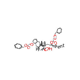 CCCCC[C@@H](CC[C@@H]1[C@H]2Cc3cccc(OCC(=O)OCc4ccccc4)c3C[C@H]2C[C@H]1O)OC(=O)COCc1ccccc1